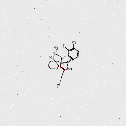 [2H][C@H]1NC2(CCCCC2)[C@@]2(C(=O)Nc3cc(Cl)ccc32)[C@H]1c1cccc(Cl)c1F